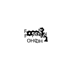 NC(CC(=O)N1CCCC1c1nc(CC2CC2)no1)Cc1cc(F)c(F)cc1F.O=CO